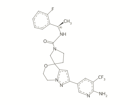 C[C@@H](NC(=O)N1CCC2(C1)OCCn1nc(-c3cnc(N)c(C(F)(F)F)c3)cc12)c1ccccc1F